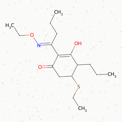 CCCC(=NOCC)C1=C(O)C(CCC)C(SCC)CC1=O